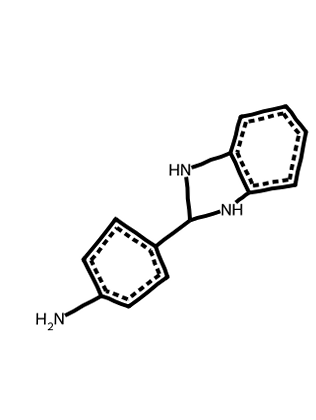 Nc1ccc(C2Nc3ccccc3N2)cc1